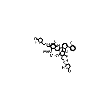 COc1nc(C2(c3ccc4c(OC)c(CNC[C@@H]5CCC(=O)N5)cc(Cl)c4n3)C=CC=C(c3ccccc3Cl)C2Cl)cc(F)c1CNC[C@@H]1CCC(=O)N1